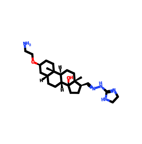 C[C@]12CC[C@H](OCCN)C[C@H]1CC[C@@H]1[C@@H]2CC[C@]2(C)[C@@H](/C=N/NC3=NCCN3)CC[C@]12O